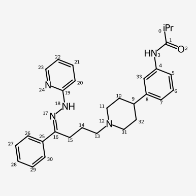 CC(C)C(=O)Nc1cccc(C2CCN(CCCC(=NNc3ccccn3)c3ccccc3)CC2)c1